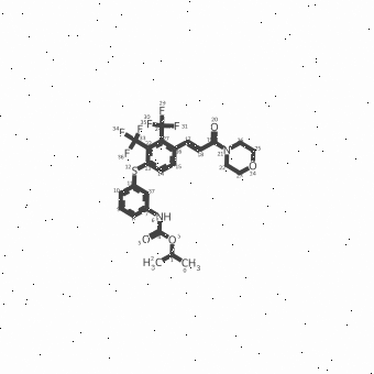 CC(C)OC(=O)Nc1cccc(Sc2ccc(C=CC(=O)N3CCOCC3)c(C(F)(F)F)c2C(F)(F)F)c1